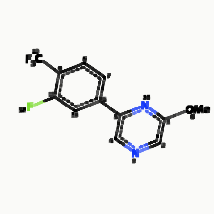 COc1cncc(-c2ccc(C(F)(F)F)c(F)c2)n1